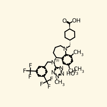 CO.Cc1cc(C)c2c(c1)[C@@H](N(Cc1cc(C(F)(F)F)cc(C(F)(F)F)c1)c1nnn(C)n1)CCCN2C[C@H]1CC[C@H](C(=O)O)CC1